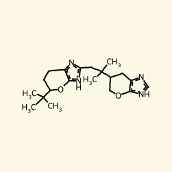 CC(C)(C)C1CCc2nc(CC(C)(C)C3COc4[nH]cnc4C3)[nH]c2O1